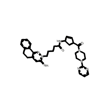 N=c1cc2c(nn1CCCCC(=O)NC1C=CC(C(=O)N3CCN(c4ncccn4)CC3)C1)-c1ccccc1CC2